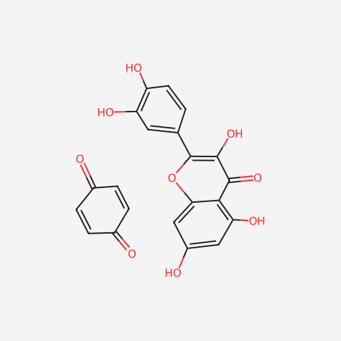 O=C1C=CC(=O)C=C1.O=c1c(O)c(-c2ccc(O)c(O)c2)oc2cc(O)cc(O)c12